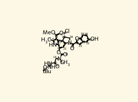 COC(=O)c1c(C)[nH]c2c(OC(=O)N(C)CC(=O)NNOC(C)(C)C)cc3c(c12)[C@H](CCl)CN3C(=O)c1cc2cc(O)ccc2o1